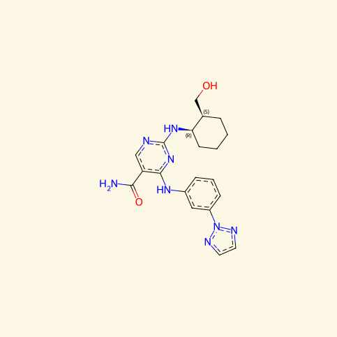 NC(=O)c1cnc(N[C@@H]2CCCC[C@@H]2CO)nc1Nc1cccc(-n2nccn2)c1